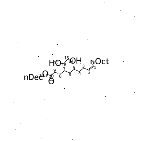 CCCCCCCC/C=C\CCCCCCCC(=O)OCCCCCCCCCC.OCCO